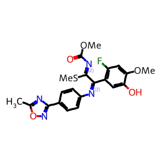 COC(=O)/N=C(SC)/C(=N\c1ccc(-c2noc(C)n2)cc1)c1cc(O)c(OC)cc1F